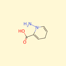 NN1C=CCC=C1C(=O)O